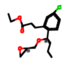 CCC[C@@H](OC[C@H]1CO1)c1ccc(Cl)cc1CCC(=O)OCC